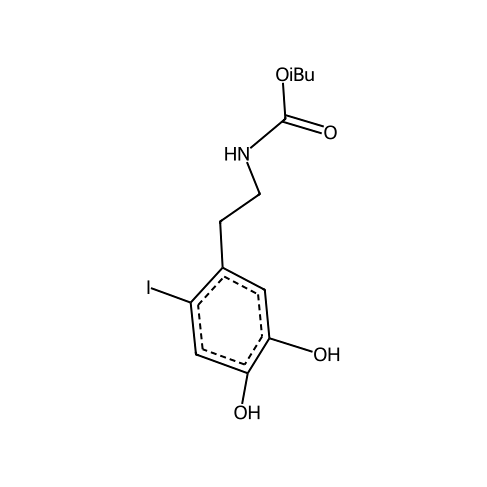 CC(C)COC(=O)NCCc1cc(O)c(O)cc1I